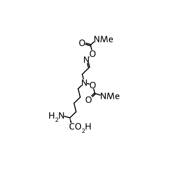 CNC(=O)ON=CCN(CCCC[C@H](N)C(=O)O)OC(=O)NC